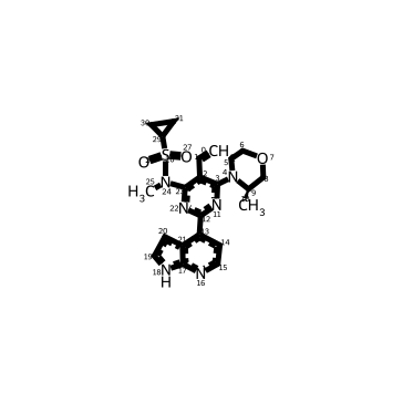 C=Cc1c(N2CCOC[C@H]2C)nc(-c2ccnc3[nH]ccc23)nc1N(C)S(=O)(=O)C1CC1